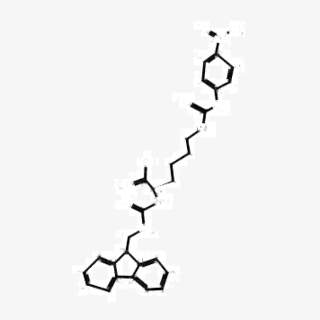 O=C(N[C@H](CCCCNC(=O)Oc1ccc([N+](=O)[O-])cc1)C(=O)O)OCC1c2ccccc2-c2ccccc21